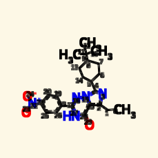 CCc1nc(C2CCC(C(C)(C)C)CC2)n2nc(-c3ccc([N+](=O)[O-])cc3)[nH]c(=O)c12